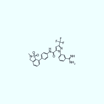 CN1Cc2cccc(-c3ccc(NC(=O)c4cc(C(F)(F)F)nn4-c4cccc(C(=N)N)c4)cc3)c2S1(=O)=O